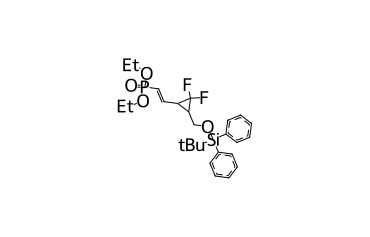 CCOP(=O)(/C=C/C1C(CO[Si](c2ccccc2)(c2ccccc2)C(C)(C)C)C1(F)F)OCC